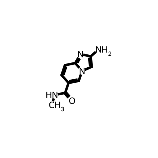 CNC(=O)c1ccc2nc(N)cn2c1